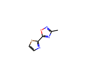 Cc1noc(-c2nccs2)n1